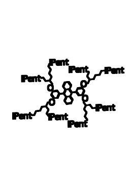 CCCC(C)CCCCC(CCC(C)CCC)COc1cc(OCC(CCCCC(C)CCC)CCC(C)CCC)cc(-c2c3ccccc3c(-c3cc(OCC(CCCCC(C)CCC)CCC(C)CCC)cc(OCC(CCCCC(C)CCC)CCC(C)CCC)c3)c3ccccc23)c1